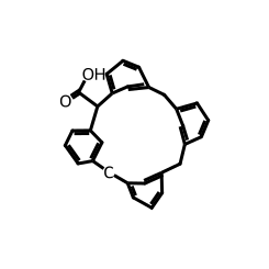 O=C(O)C1c2cccc(c2)Cc2cccc(c2)Cc2cccc(c2)Cc2cccc1c2